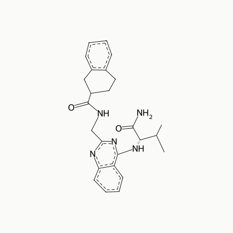 CC(C)[C@H](Nc1nc(CNC(=O)C2CCc3ccccc3C2)nc2ccccc12)C(N)=O